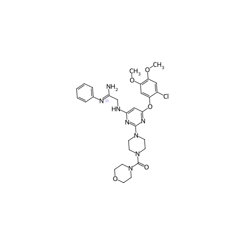 COc1cc(Cl)c(Oc2cc(NC/C(N)=N/c3ccccc3)nc(N3CCN(C(=O)N4CCOCC4)CC3)n2)cc1OC